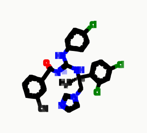 B[C@](Cn1ccnc1)(N/C(=N/C(=O)c1cccc(C#N)c1)Nc1ccc(Cl)cc1)c1ccc(Cl)cc1Cl